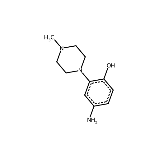 CN1CCN(c2cc(N)ccc2O)CC1